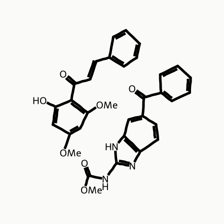 COC(=O)Nc1nc2ccc(C(=O)c3ccccc3)cc2[nH]1.COc1cc(O)c(C(=O)C=Cc2ccccc2)c(OC)c1